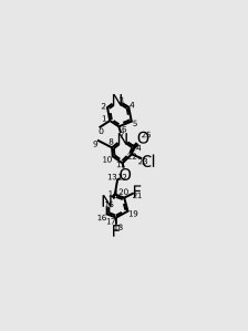 Cc1cnccc1-n1c(C)cc(OCc2ncc(F)cc2F)c(Cl)c1=O